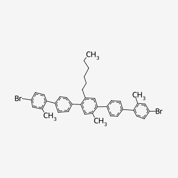 CCCCCCc1cc(-c2ccc(-c3ccc(Br)cc3C)cc2)c(C)cc1-c1ccc(-c2ccc(Br)cc2C)cc1